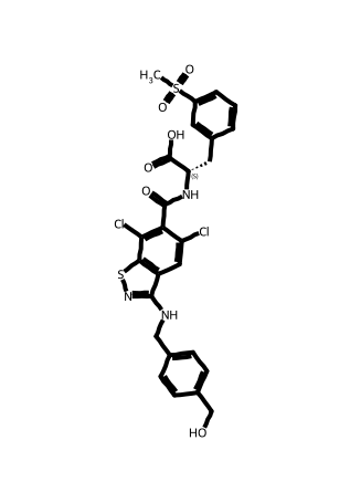 CS(=O)(=O)c1cccc(C[C@H](NC(=O)c2c(Cl)cc3c(NCc4ccc(CO)cc4)nsc3c2Cl)C(=O)O)c1